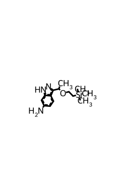 CC(OCC[Si](C)(C)C)c1n[nH]c2cc(N)ccc12